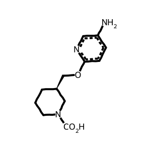 Nc1ccc(OC[C@@H]2CCCN(C(=O)O)C2)nc1